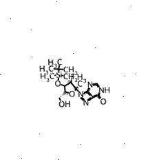 CC(C)(C)[Si](C)(C)OC1[C@@H](F)[C@](C)(n2cnc3c(=O)[nH]cnc32)O[C@@H]1CO